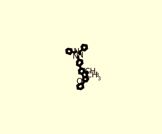 CC1(C)c2cc(-c3ccc(-c4nc(-c5ccccc5)nc(-c5ccccc5)n4)cc3)ccc2-c2c1ccc1c2oc2ccccc21